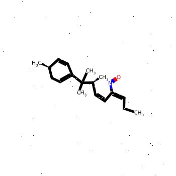 CC/C=C(\C=C/[C@H](C)C(C)(C)C1=CC[C@@H](C)C=C1)N=O